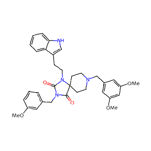 COc1cccc(CN2C(=O)N(CCc3c[nH]c4ccccc34)C3(CCN(Cc4cc(OC)cc(OC)c4)CC3)C2=O)c1